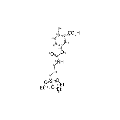 CCO[Si](CCCNC(=O)Oc1ccc(I)c(C(=O)O)c1)(OCC)OCC